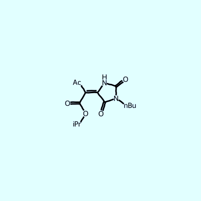 CCCCN1C(=O)NC(=C(C(C)=O)C(=O)OC(C)C)C1=O